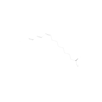 CCCC/C=C/C=C/C=C\CCCCCCCC(N)=O